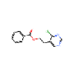 O=C(OCCc1cncnc1Cl)c1ccccc1